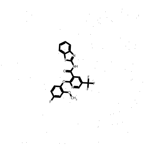 COc1cc(F)ccc1Oc1ncc(C(F)(F)F)cc1C(=O)Nc1nc2ccccc2s1